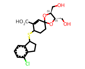 O=C(O)C1=CC2(CCC1SC1CCc3c(Cl)cccc31)O[C@@H](CO)[C@H](CO)O2